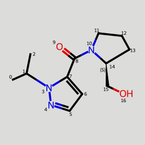 CC(C)n1nccc1C(=O)N1CCC[C@H]1CO